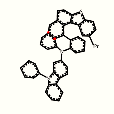 CC(C)c1ccc2sc3ccc4cccc(-c5ccccc5N(c5ccccc5)c5ccc6c7ccccc7n(-c7ccccc7)c6c5)c4c3c2c1